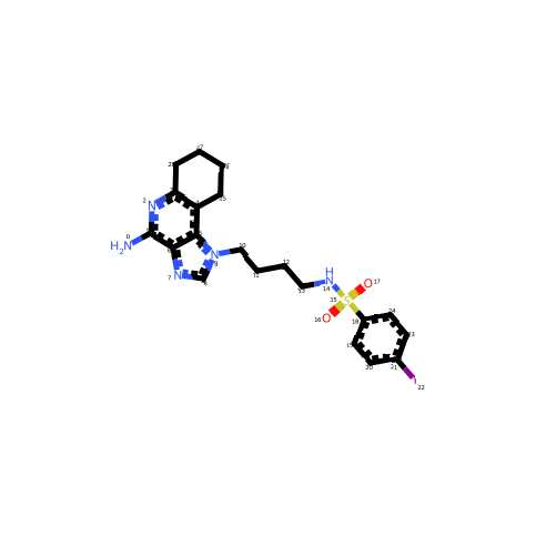 Nc1nc2c(c3c1ncn3CCCCNS(=O)(=O)c1ccc(I)cc1)CCCC2